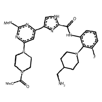 CNc1nc(-c2c[nH]c(C(=O)Nc3cccc(F)c3N3CCC(CN)CC3)n2)cc(N2CCN(C(=O)OC)CC2)n1